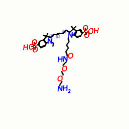 CCN1\C(=C/C=C/C=C/C2=[N+](CCCCCC(=O)NCCOCCOCCN)c3ccc(S(=O)(=O)O)cc3C2(C)C)C(C)(C)c2cc(S(=O)(=O)O)ccc21